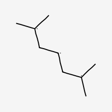 C[C](C)C[CH]C[C](C)C